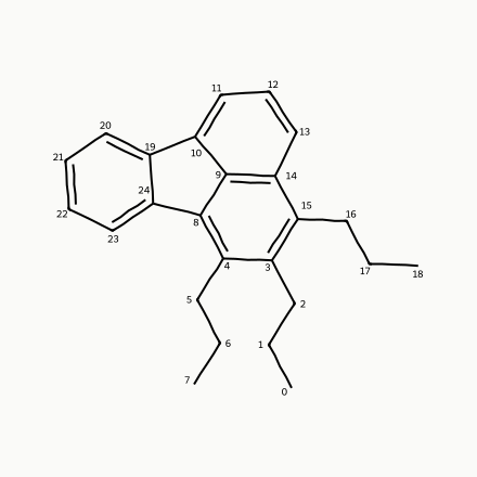 CCCc1c(CCC)c2c3c(cccc3c1CCC)-c1ccccc1-2